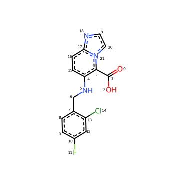 O=C(O)c1c(NCc2ccc(F)cc2Cl)ccc2nccn12